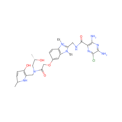 CCn1c(CNC(=O)c2nc(Cl)c(N)nc2N)[n+](CC)c2ccc(OCC(=O)N(CC3=C(O)C=CC(C)N3)C[C@H](C)O)cc21